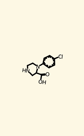 O=C(O)C1CNCCN1c1ccc(Cl)cc1